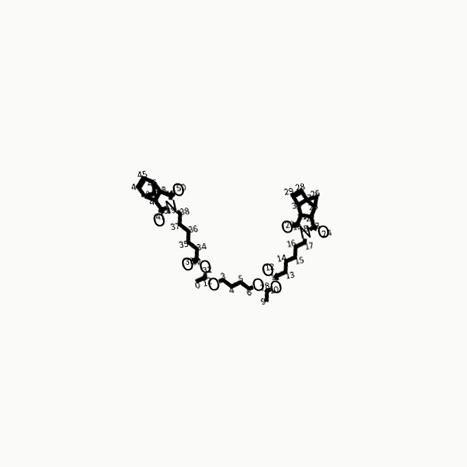 CC(OCCCCOC(C)OC(=O)CCCCCN1C(=O)C2C(C1=O)C1CC13C=CC23)OC(=O)CCCCCN1C(=O)C2C3C=CC(C3)C2C1=O